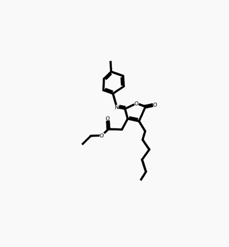 CCCCCCC1=C(CC(=O)OCC)/C(=N/c2ccc(C)cc2)OC1=O